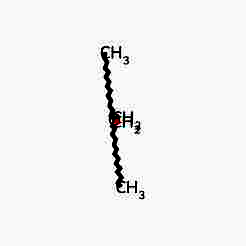 C=C.CCCCCCCCCCCCCCOCCCCCCCCCCCCCC